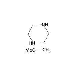 C1CNCCN1.COC